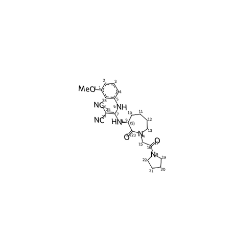 COc1cccc(NC(N[C@H]2CCCCN(CC(=O)N3CCCC3)C2=O)=C(C#N)C#N)c1